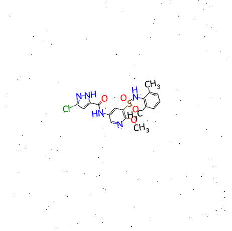 COc1ncc(NC(=O)c2cc(Cl)n[nH]2)cc1S(=O)(=O)Nc1c(C)cccc1C